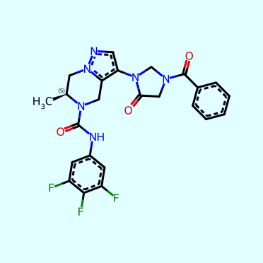 C[C@H]1Cn2ncc(N3CN(C(=O)c4ccccc4)CC3=O)c2CN1C(=O)Nc1cc(F)c(F)c(F)c1